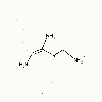 N/C=C(/N)SCN